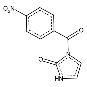 O=C(c1ccc([N+](=O)[O-])cc1)n1cc[nH]c1=O